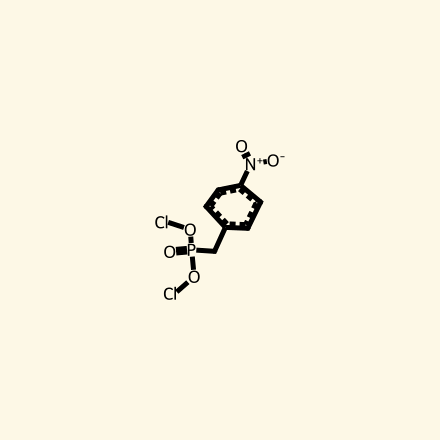 O=[N+]([O-])c1ccc(CP(=O)(OCl)OCl)cc1